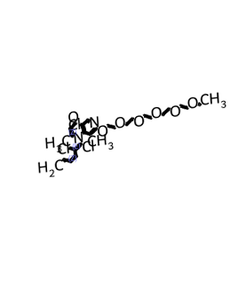 C=C/C=C\C(Cl)=C(/Cl)N(/C(C)=C\C=O)c1c(Cl)cnc(OCCOCCOCCOCCOCCOCC)c1C